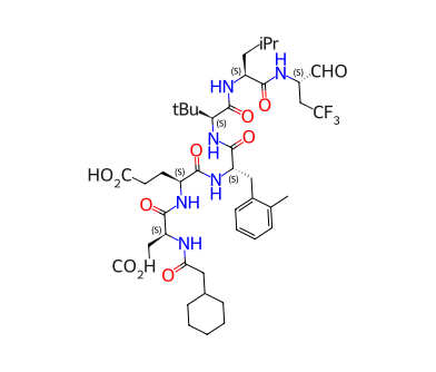 Cc1ccccc1C[C@H](NC(=O)[C@H](CCC(=O)O)NC(=O)[C@H](CC(=O)O)NC(=O)CC1CCCCC1)C(=O)N[C@H](C(=O)N[C@@H](CC(C)C)C(=O)N[C@H](C=O)CC(F)(F)F)C(C)(C)C